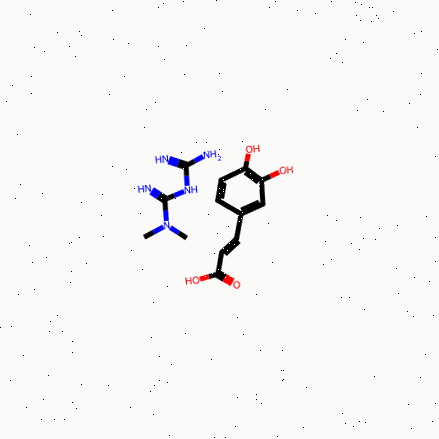 CN(C)C(=N)NC(=N)N.O=C(O)C=Cc1ccc(O)c(O)c1